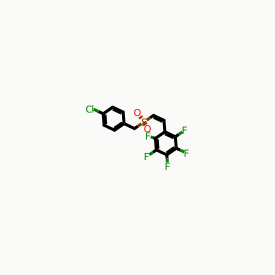 O=S(=O)(/C=C\c1c(F)c(F)c(F)c(F)c1F)Cc1ccc(Cl)cc1